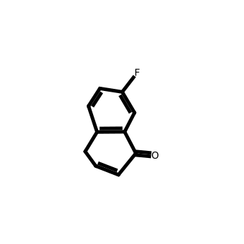 O=C1C=CCc2ccc(F)cc21